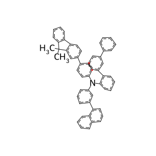 CC1(C)c2ccccc2-c2ccc(-c3ccc(N(c4cccc(-c5cccc6ccccc56)c4)c4ccccc4-c4cccc(-c5ccccc5)c4)cc3)cc21